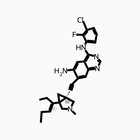 CC/C=C(\CC)C12CN(C)C[C@]1(C#Cc1cc3ncnc(Nc4cccc(Cl)c4F)c3cc1N)C2